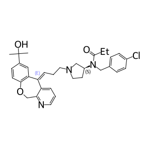 CCC(=O)N(Cc1ccc(Cl)cc1)[C@H]1CCN(CC/C=C2/c3cc(C(C)(C)O)ccc3OCc3ncccc32)C1